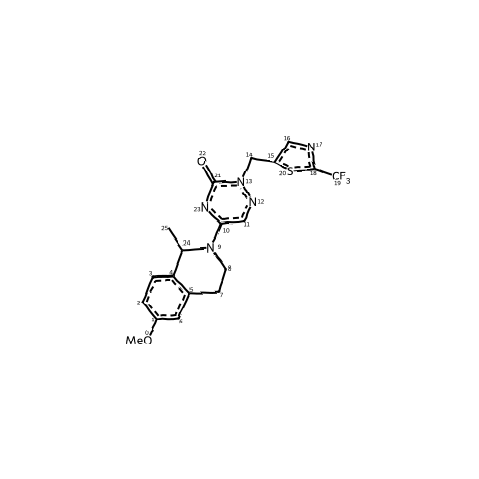 COc1ccc2c(c1)CCN(c1cnn(Cc3cnc(C(F)(F)F)s3)c(=O)n1)C2C